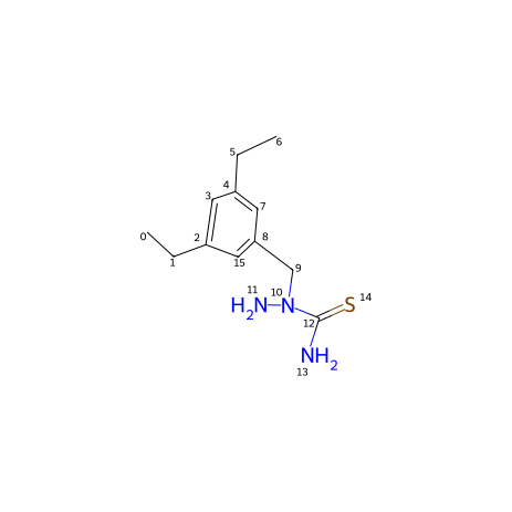 CCc1cc(CC)cc(CN(N)C(N)=S)c1